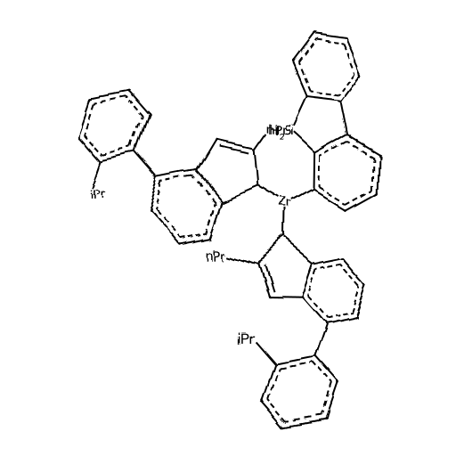 CCCC1=Cc2c(-c3ccccc3C(C)C)cccc2[CH]1[Zr]([c]1cccc2c1[SiH2]c1ccccc1-2)[CH]1C(CCC)=Cc2c(-c3ccccc3C(C)C)cccc21